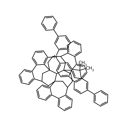 CC1(C)c2cc(-c3ccccc3)ccc2-c2ccc(N(c3cccc(-c4ccccc4)c3)c3cccc4c3C35CCC6CC7(CCC8CC(CC(C3)c3ccccc3-4)(c3ccccc3-c3ccccc38)C75)c3ccccc3-c3ccccc36)cc21